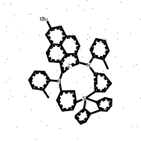 Cc1ccccc1N1c2cccc(c2)[Si]2(c3cccc(c3)N(c3ccccc3C)c3cc1c1ccc4cc(C(C)(C)C)cc5ccc3c1c45)c1ccccc1-c1ccccc12